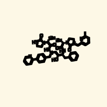 CC[C@H](C)[C@@H](C(=O)N[C@@H](Cc1ccccc1)[C@@H](O)CN(Cc1ccc(-c2ccccn2)cc1)NC(=O)[C@@H](N1CCNC1=O)C(C)(C)C)N1CCN(Cc2cccc(C)n2)C1=O